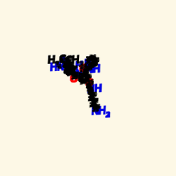 CN(C)C(=N)c1ccc(C(=O)Nc2ccc(OCNCCCCCCN)cc2C(=O)Nc2ccccn2)cc1